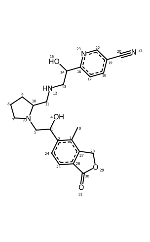 Cc1c(C(O)CN2CCCC2CNCC(O)c2ccc(C#N)cn2)ccc2c1COC2=O